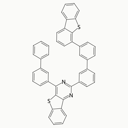 c1ccc(-c2cccc(-c3nc(-c4cccc(-c5cccc(-c6cccc7c6sc6ccccc67)c5)c4)nc4c3sc3ccccc34)c2)cc1